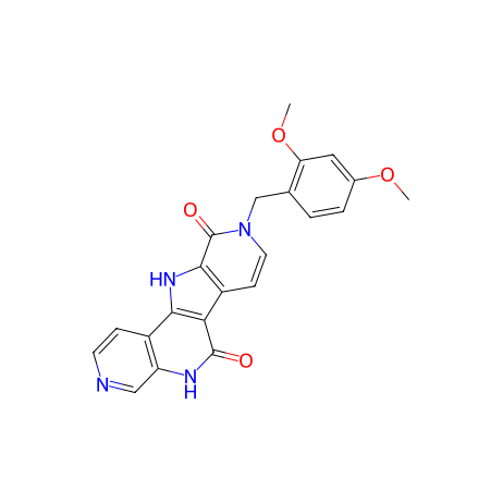 COc1ccc(Cn2ccc3c([nH]c4c5ccncc5[nH]c(=O)c34)c2=O)c(OC)c1